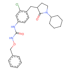 O=C(NOCc1ccccc1)Nc1ccc(CC2CCN(C3CCCCC3)C2=O)c(Cl)c1